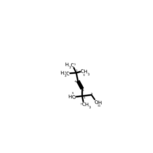 CC(C)(C)C#CC(C)(O)CO